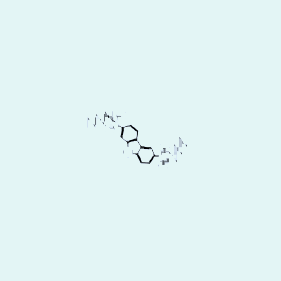 [N-]=[N+]=NS(=O)(=O)c1ccc2c(c1)oc1ccc(S(=O)(=O)N=[N+]=[N-])cc12